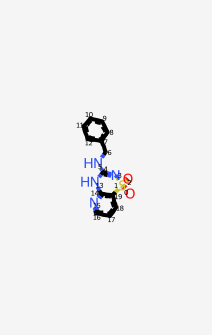 O=S1(=O)N=C(NCc2ccccc2)Nc2ncccc21